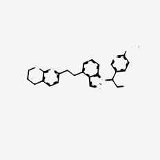 COc1ccc(C(CC(=O)O)n2ncc3c(CCc4ccc5c(n4)NCCC5)cccc32)cn1